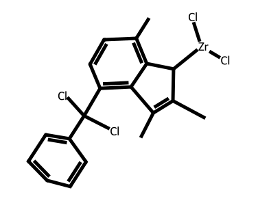 CC1=C(C)[CH]([Zr]([Cl])[Cl])c2c(C)ccc(C(Cl)(Cl)c3ccccc3)c21